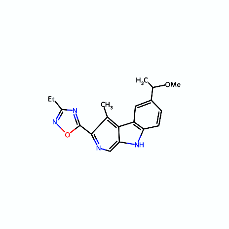 CCc1noc(-c2ncc3[nH]c4ccc(C(C)OC)cc4c3c2C)n1